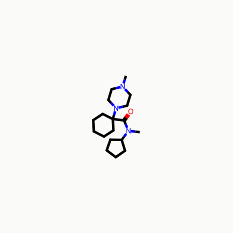 CN1CCN(C2(C(=O)N(C)C3CCCC3)CCCCC2)CC1